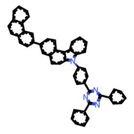 c1ccc(-c2nc(-c3ccccc3)nc(-c3ccc(-n4c5ccccc5c5c6ccc(-c7ccc8ccc9ccccc9c8c7)cc6ccc54)cc3)n2)cc1